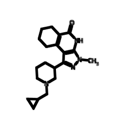 Cn1nc(C2CCCN(CC3CC3)C2)c2c3c(c(=O)[nH]c21)CCCC3